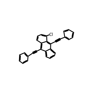 Clc1cccc2c(C#Cc3ccccc3)c3ccccc3c(C#Cc3ccccc3)c12